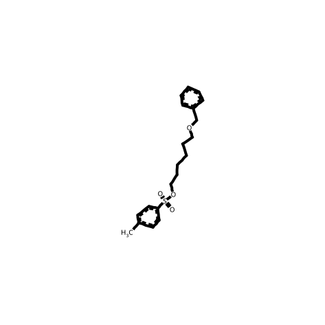 Cc1ccc(S(=O)(=O)OCCCCCCOCc2ccccc2)cc1